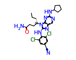 CCC[C@@H](CCC(N)=O)n1c(Nc2c(Cl)cc(C#N)cc2Cl)nc2cnc(NC3CCCC3)nc21